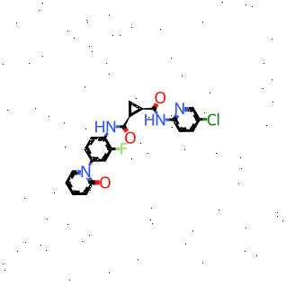 O=C(Nc1ccc(-n2ccccc2=O)cc1F)[C@H]1C[C@H]1C(=O)Nc1ccc(Cl)cn1